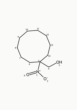 O=[N+]([O-])C1(CO)CCCCCCCCC1